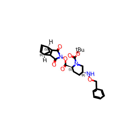 CC(C)(C)OC(=O)N1C[C@H](NOCc2ccccc2)CC[C@H]1C(=O)ON1C(=O)C2C(C1=O)[C@H]1C=C[C@@H]2C1